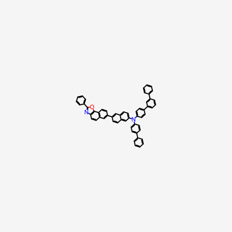 c1ccc(-c2ccc(N(c3ccc(-c4cccc(-c5ccccc5)c4)cc3)c3ccc4cc(-c5ccc6c(ccc7nc(-c8ccccc8)oc76)c5)ccc4c3)cc2)cc1